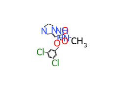 CCNC(=O)C1(C(=O)OCc2cc(Cl)cc(Cl)c2)C=C2CN=CCCN2N1